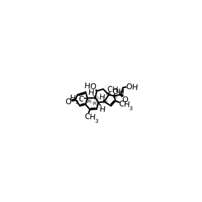 CC1=C[C@@H]2[C@H](C(O)C[C@@]3(C)[C@H]2C=C(C)[C@]3(O)C(=O)CO)[C@@]2(C)C=CC(=O)C=C12